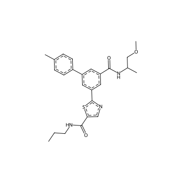 CCCNC(=O)c1cnc(-c2cc(C(=O)NC(C)COC)cc(-c3ccc(C)cc3)c2)s1